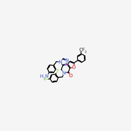 Nc1ccc(Cn2cnnc2CN(Cc2ccc(F)cc2F)C(=O)c2ccc(-c3cccc(C(F)(F)F)c3)o2)cc1